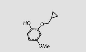 COc1ccc(O)c(OCC2CC2)c1